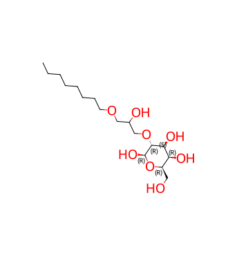 CCCCCCCCOCC(O)CO[C@@H]1[C@@H](O)[C@@H](O)[C@@H](CO)O[C@H]1O